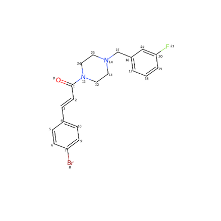 O=C(C=Cc1ccc(Br)cc1)N1CCN(Cc2cccc(F)c2)CC1